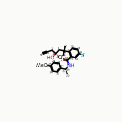 C#CC[C@](O)(CC(C)(C)c1ccc(F)cc1C(=O)N[C@@H](C)c1ccc(OC)cc1)C(F)(F)F